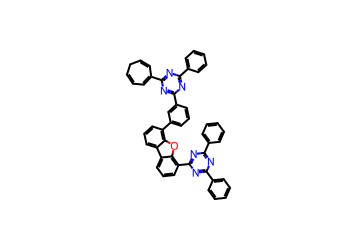 C1=CCC=CC(c2nc(-c3ccccc3)nc(-c3cccc(-c4cccc5c4oc4c(-c6nc(-c7ccccc7)nc(-c7ccccc7)n6)cccc45)c3)n2)=C1